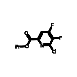 CC(C)OC(=O)c1cc(F)c(F)c(Cl)n1